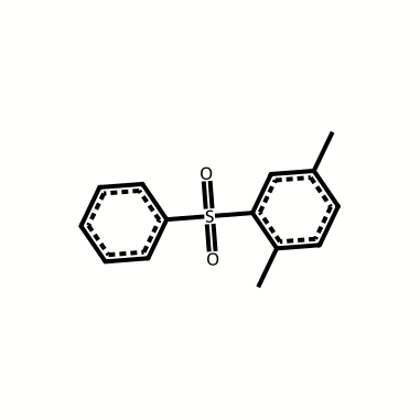 Cc1ccc(C)c(S(=O)(=O)c2ccccc2)c1